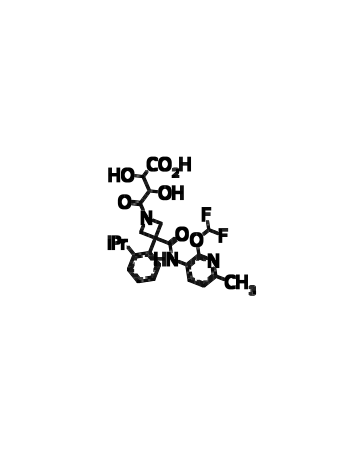 Cc1ccc(NC(=O)C2(c3ccccc3C(C)C)CN(C(=O)C(O)C(O)C(=O)O)C2)c(OC(F)F)n1